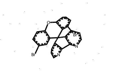 Brc1ccc2c(c1)C1(c3cccnc3-c3ncccc31)c1c(Br)cccc1O2